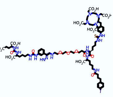 N=N/C(=C\NCCOCCOCCOCCC(=O)N[C@@H](CCCCNC(=S)Nc1ccc(CC2CN(CC(=O)O)CCN(CC(=O)O)CCN(CC(=O)O)CCN2CC(=O)O)cc1)C(=O)NC(CCCCNC(=O)CCCc1ccc(I)cc1)C(=O)O)c1cccc(NC(=O)NCCCCC(NC(=O)N[C@@H](CCC(=O)O)C(=O)O)C(=O)O)c1